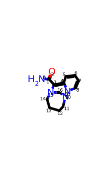 NC(=O)C1=C2C=CC=CN2N2CCCCN1C2